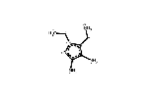 CCn1nc(N)c(N)c1CN